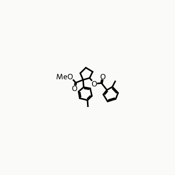 COC(=O)C1(c2ccc(C)cc2)CCCC1OC(=O)c1ccccc1C